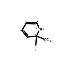 ClC(Cl)(Cl)C1(Cl)C=CC=CN1